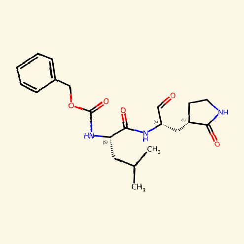 CC(C)C[C@H](NC(=O)OCc1ccccc1)C(=O)N[C@H](C=O)C[C@@H]1CCNC1=O